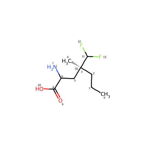 CCC[C@@](C)(CC(N)C(=O)O)C(F)F